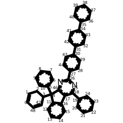 C1=CCC(C2(c3ccccc3)c3ccccc3-c3c(-c4ccccc4)nc(-c4ccc(-c5ccc(-c6ccccc6)cc5)cc4)nc32)C=C1